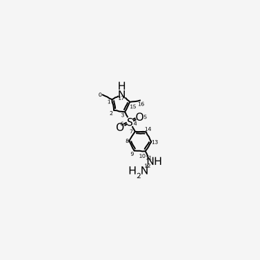 Cc1cc(S(=O)(=O)c2ccc(NN)cc2)c(C)[nH]1